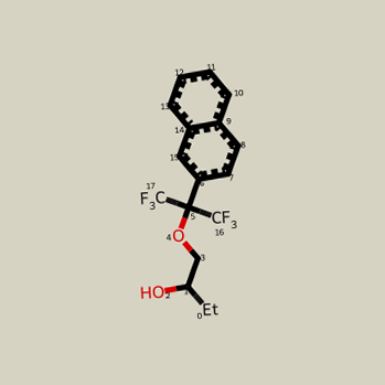 CCC(O)COC(c1ccc2ccccc2c1)(C(F)(F)F)C(F)(F)F